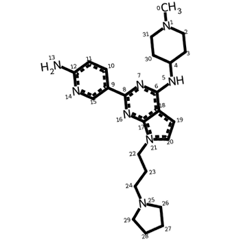 CN1CCC(Nc2nc(-c3ccc(N)nc3)nc3c2ccn3CCCN2CCCC2)CC1